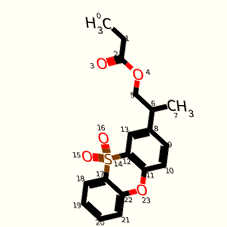 CCC(=O)OCC(C)c1ccc2c(c1)S(=O)(=O)c1ccccc1O2